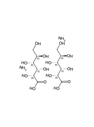 N.N.O=C(O)[C@H](O)[C@@H](O)[C@H](O)[C@H](O)CO.O=C(O)[C@H](O)[C@@H](O)[C@H](O)[C@H](O)CO